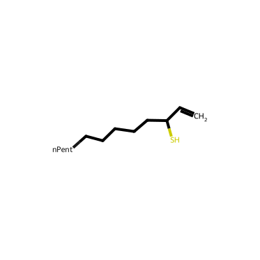 C=CC(S)CCCCCCCCCC